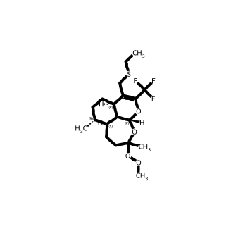 CCSCC1=C(C(F)(F)F)O[C@@H]2OC(C)(OOC)CC[C@@H]3C2[C@H]1CC[C@H]3C